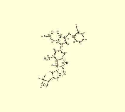 CC(C)(Cc1coc([C@@]2(C)C(=O)Nc3nc(-c4nn(Cc5ccccc5F)c5ccc(F)cc45)nc(N)c32)n1)C(=O)O